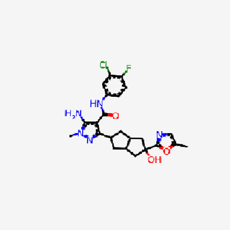 Cc1cnc(C2(O)CC3CC(c4nn(C)c(N)c4C(=O)Nc4ccc(F)c(Cl)c4)CC3C2)o1